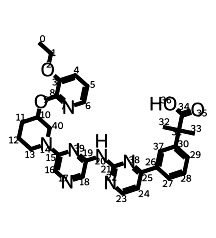 CCOc1cccnc1OC1CCCN(c2cncc(Nc3nccc(-c4cccc(C(C)(C)C(=O)O)c4)n3)n2)C1